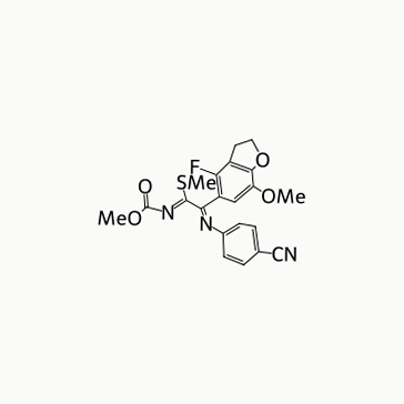 COC(=O)/N=C(SC)/C(=N/c1ccc(C#N)cc1)c1cc(OC)c2c(c1F)CCO2